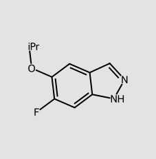 CC(C)Oc1cc2cn[nH]c2cc1F